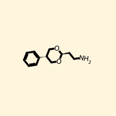 NCC[C@H]1OC[C@H](c2ccccc2)CO1